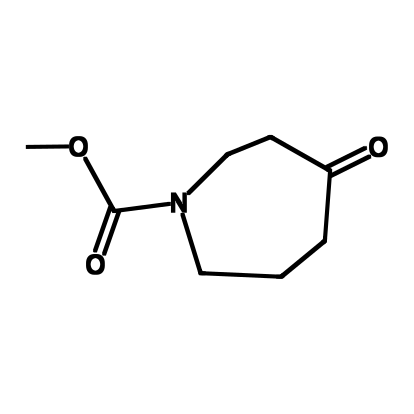 COC(=O)N1CCCC(=O)CC1